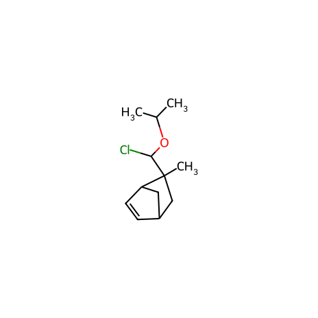 CC(C)OC(Cl)C1(C)CC2C=CC1C2